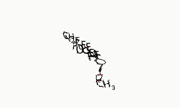 C=CC1CCC(C(F)C(F)COc2ccc(OC(F)(F)C3CCC(C#CC4CCC(C)CC4)CC3)c(F)c2F)CC1